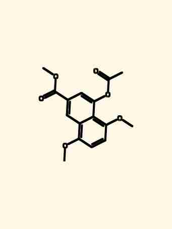 COC(=O)c1cc(OC(C)=O)c2c(OC)ccc(OC)c2c1